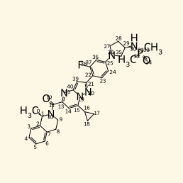 C[C@@H]1c2ccccc2CCN1C(=O)c1cc(C2CC2)n2nc(-c3ccc(N4CC[C@@H](NP(C)(C)=O)C4)cc3F)cc2n1